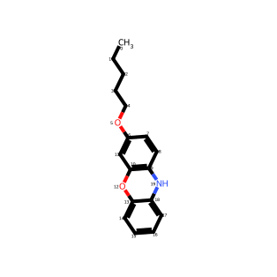 CCCCCOc1ccc2c(c1)Oc1ccccc1N2